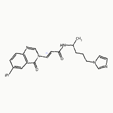 CC(CCCn1ccnc1)NC(=O)/C=C/n1cnc2ccc(C(C)C)cc2c1=O